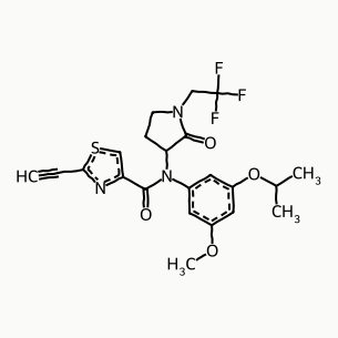 C#Cc1nc(C(=O)N(c2cc(OC)cc(OC(C)C)c2)C2CCN(CC(F)(F)F)C2=O)cs1